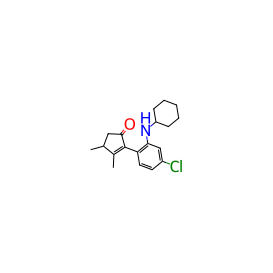 CC1=C(c2ccc(Cl)cc2NC2CCCCC2)C(=O)CC1C